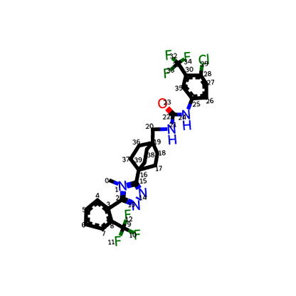 Cn1c(-c2ccccc2C(F)(F)F)nnc1C12CCC(CNC(=O)Nc3ccc(Cl)c(C(F)(F)F)c3)(CC1)CC2